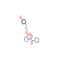 COc1ccc(CCCOC(=O)C2CCCCN2C(=O)C(=O)C2CCCCC2)cc1